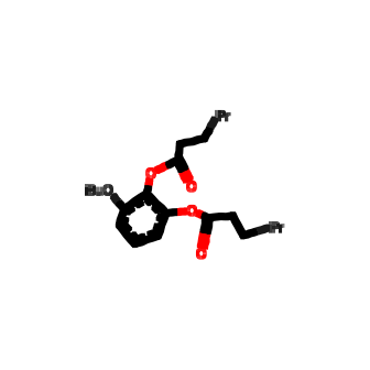 CC(C)CCC(=O)Oc1cccc(OCC(C)C)c1OC(=O)CCC(C)C